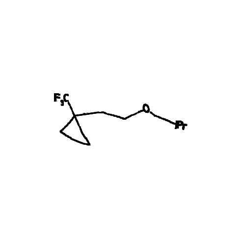 CC(C)OCCC1(C(F)(F)F)CC1